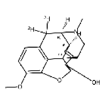 [2H]C1([2H])c2ccc(OC)c3c2[C@]24CCN(C)[C@H]1[C@@H]2C=CC(O)C4O3